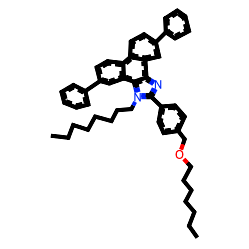 CCCCCCCCn1c(-c2ccc(COCCCCCCC)cc2)nc2c3cc(-c4ccccc4)ccc3c3ccc(-c4ccccc4)cc3c21